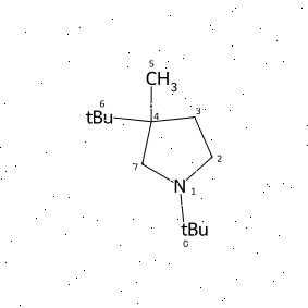 CC(C)(C)N1CCC(C)(C(C)(C)C)C1